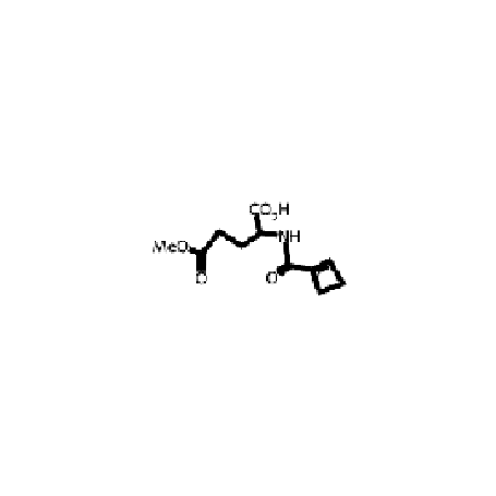 COC(=O)CCC(NC(=O)C1=CCC1)C(=O)O